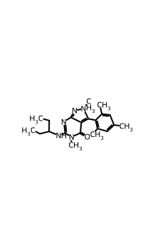 CCC(CC)Nc1nc2nn(C)c(-c3c(C)cc(C)cc3C)c2c(=O)n1C